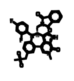 Cn1cc2c3c(c[nH]c3c1=O)[C@@H](CN1C(=O)c3ccccc3C1=O)N(c1ccc(F)cc1F)c1ccc(CS(C)(=O)=O)cc1-2